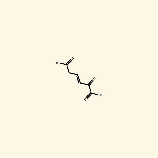 O=C(O)C/C=C/C(=O)C(=O)O